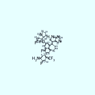 Cc1c(F)c(N)cc(-c2cc3c4c(cc(OC[C@@]56CCCN5C[C@]5(CC5(F)F)C6)cc4c2F)C([C@@H](C)c2cncnc2N)CCC3)c1C(F)(F)F